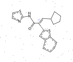 O=C(Nc1nccs1)/C(=C/C1CCCC1)c1cc2ccccc2s1